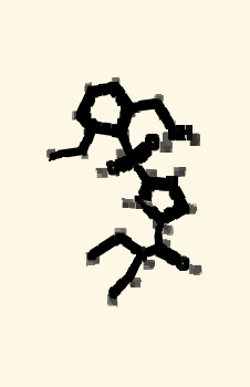 CCc1cccc(CN)c1S(=O)(=O)c1ncn(C(=O)N(CC)CC)n1